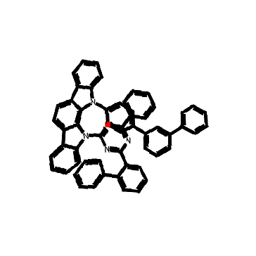 c1ccc(-c2cccc(-c3ccc(-n4c5ccccc5c5ccc6c7ccccc7n(-c7nc(-c8ccccc8)nc(-c8ccccc8-c8ccccc8)n7)c6c54)cc3)c2)cc1